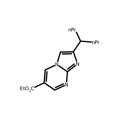 CCCC(CCC)c1cn2cc(C(=O)OCC)cnc2n1